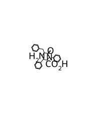 NC(Cc1ccccc1)C(=O)N(c1ccccc1)C(Cc1ccccc1)C(=O)O